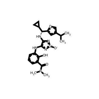 CC(C)c1coc([C@H](Nc2n[s+]([O-])nc2Nc2cccc(C(=O)N(C)C)c2O)C2CC2)c1